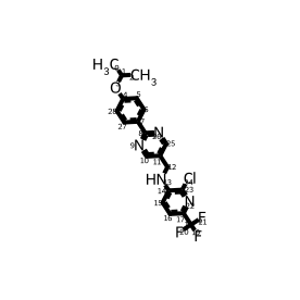 CC(C)Oc1ccc(-c2ncc(CNc3ccc(C(F)(F)F)nc3Cl)cn2)cc1